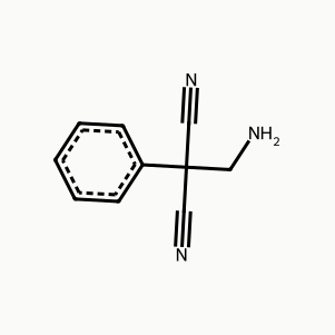 N#CC(C#N)(CN)c1ccccc1